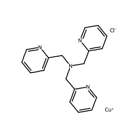 [Cl-].[Cu+].c1ccc(CN(Cc2ccccn2)Cc2ccccn2)nc1